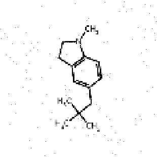 CN1CCc2cc(CC(C)(C)C)ccc21